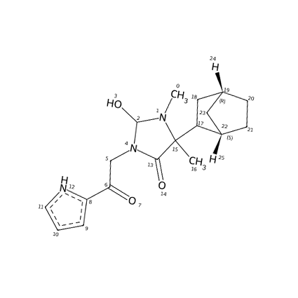 CN1C(O)N(CC(=O)c2ccc[nH]2)C(=O)C1(C)C1C[C@@H]2CC[C@H]1C2